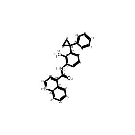 O=C(Nc1cccc(C2(c3ccccc3)CC2)c1C(F)(F)F)c1ccnc2ccccc12